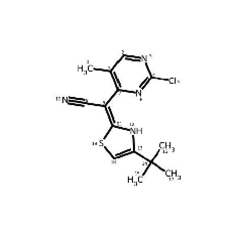 Cc1cnc(Cl)nc1/C(C#N)=C1\NC(C(C)(C)C)=CS1